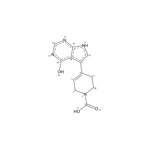 O=C(O)N1CC=C(c2c[nH]c3ncnc(O)c23)CC1